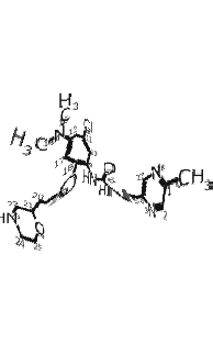 Cc1cnc(NC(=O)Nc2cc(Cl)c(N(C)C)cc2OCC2CNCCO2)cn1